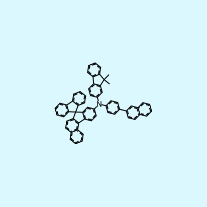 CC1(C)c2ccccc2-c2ccc(N(c3ccc(-c4ccc5ccccc5c4)cc3)c3ccc4c(c3)C3(c5ccccc5-c5ccccc53)c3ccc5ccccc5c3-4)cc21